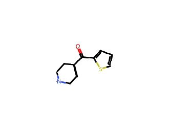 O=C(c1cccs1)C1CC[N]CC1